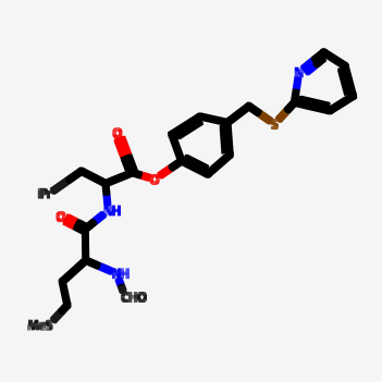 CSCCC(NC=O)C(=O)NC(CC(C)C)C(=O)Oc1ccc(CSc2ccccn2)cc1